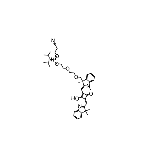 CC(C)N(C(C)C)P(OCCC#N)OCCOCCOC[C@]1(C)C(=CC2=C(O)C(=CC3=Nc4ccccc4C3(C)C)C2=O)N(C)c2ccccc21